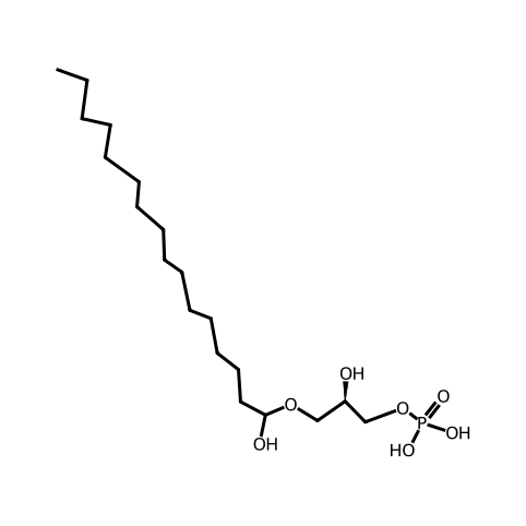 CCCCCCCCCCCCCCCC(O)OC[C@@H](O)COP(=O)(O)O